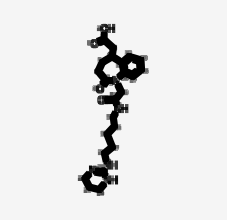 O=C(O)CC1CCC(=O)N(CC(=O)NCCCCCNC2=NCCCN2)c2ccccc21